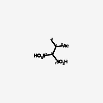 CC(=O)C(C)C(S(=O)(=O)O)S(=O)(=O)O